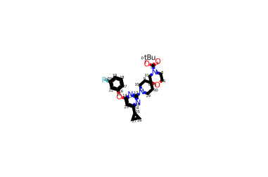 CC(C)(C)OC(=O)N1CCOC2(CCN(c3nc(Oc4cccc(F)c4)cc(C4CC4)n3)CC2)C1